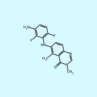 Cc1c(Nc2c(F)ccc(N)c2F)ccc2ncn(C)c(=O)c12